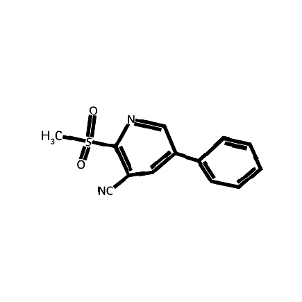 CS(=O)(=O)c1ncc(-c2ccccc2)cc1C#N